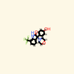 O=C1Nc2c(C(F)(F)F)cccc2C1(c1ccc(O)cc1)N1CCOCC1